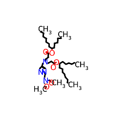 CCCCCCCCC(CCCCCC)OC(=O)CCN(CCC(=O)OC(CCCCCC)CCCCCCCC)Cc1cnn(CCN(COC)COC)c1